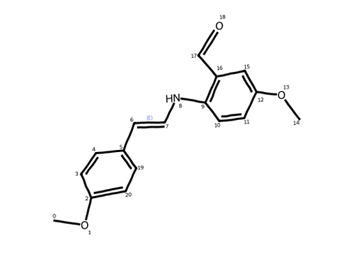 COc1ccc(/C=C/Nc2ccc(OC)cc2C=O)cc1